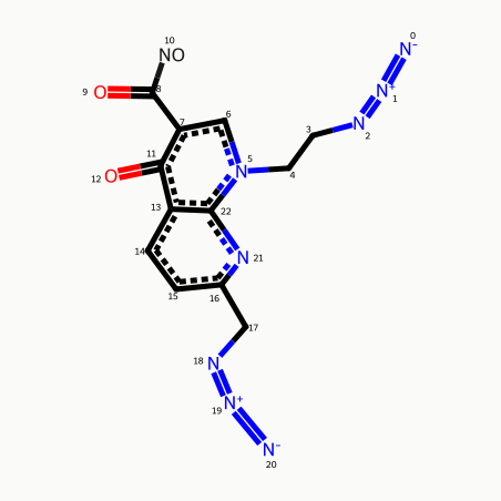 [N-]=[N+]=NCCn1cc(C(=O)N=O)c(=O)c2ccc(CN=[N+]=[N-])nc21